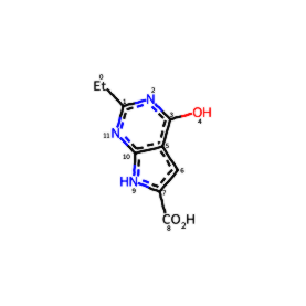 CCc1nc(O)c2cc(C(=O)O)[nH]c2n1